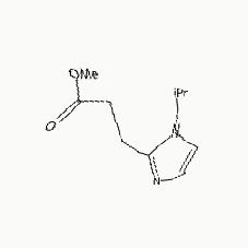 COC(=O)CCc1nccn1C(C)C